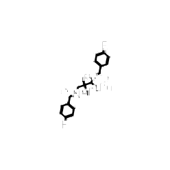 CC(C)C(CNC(=O)c1ccc(F)cc1)(C(C)C)C(OC(=O)c1ccc(F)cc1)C(C)(C)C